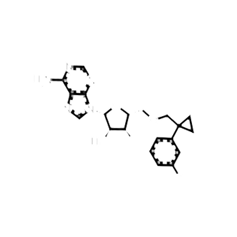 Nc1ncnc2c1ncn2[C@@H]1O[C@H](COCC2(c3cccc(Cl)c3)CC2)[C@@H](O)[C@H]1O